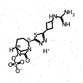 N=C(N)NC1CC(c2nnc([C@@H]3CC[C@@H]4CN3C(=O)N4OS(=O)(=O)[O-])s2)C1.[H+]